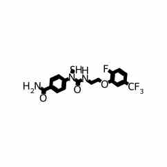 NC(=O)c1ccc(N(S)C(=O)NCCOc2cc(C(F)(F)F)ccc2F)cc1